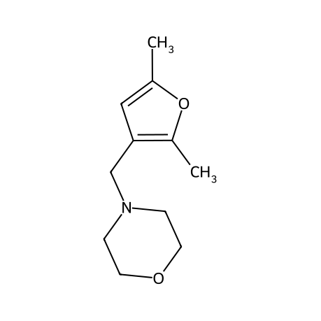 Cc1cc(CN2CCOCC2)c(C)o1